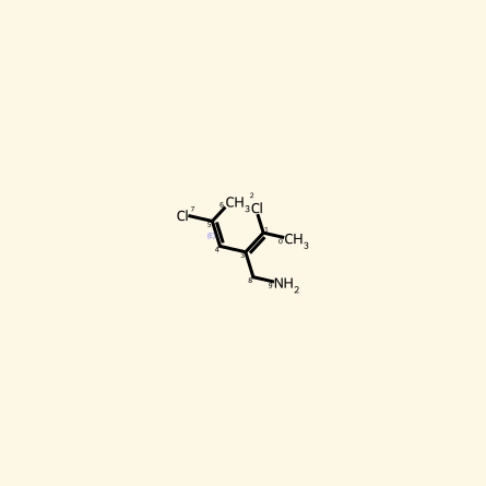 CC(Cl)=C(/C=C(\C)Cl)CN